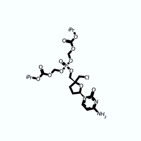 CC(C)OC(=O)OCOP(=O)(OCOC(=O)OC(C)C)OC[C@]1(CCl)CC[C@H](n2ccc(N)nc2=O)O1